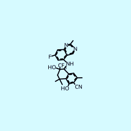 Cc1ncc2c(NC3c4cc(C)c(C#N)c(O)c4C(C)(C)CC3(O)C(F)(F)F)cc(F)cc2n1